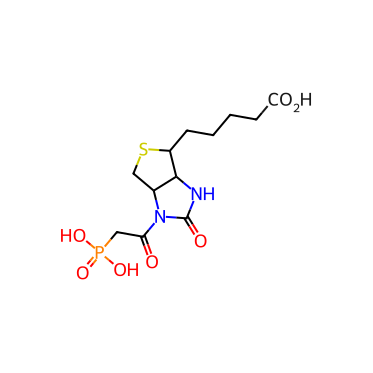 O=C(O)CCCCC1SCC2C1NC(=O)N2C(=O)CP(=O)(O)O